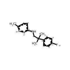 [CH2]c1ccc(NCC(C)(C)c2ccc(F)cc2)nn1